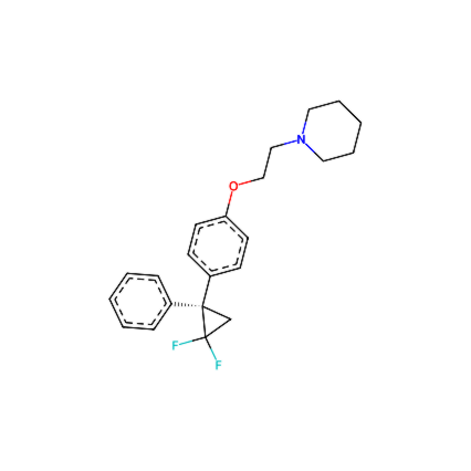 FC1(F)C[C@]1(c1ccccc1)c1ccc(OCCN2CCCCC2)cc1